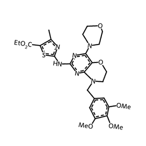 CCOC(=O)c1sc(Nc2nc(N3CCOCC3)c3c(n2)N(Cc2cc(OC)c(OC)c(OC)c2)CCO3)nc1C